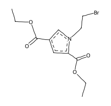 CCOC(=O)c1cc(C(=O)OCC)n(CCBr)c1